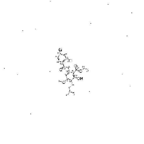 C=C(C)CCc1c(OC)cc(CC(=O)c2ccc(Cl)cc2Cl)c(C(=O)OCC)c1O